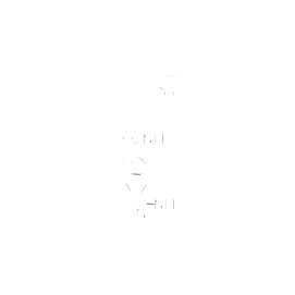 N=C(N)c1ccc2oc(C(=O)NC3CCC(CC(=O)O)CC3)cc2c1